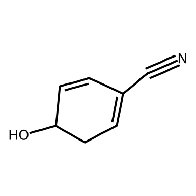 N#CC1=CCC(O)C=C1